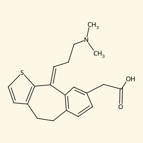 CN(C)CCC=C1c2cc(CC(=O)O)ccc2CCc2ccsc21